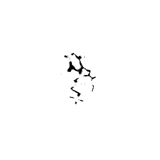 CCNC(=O)c1cc2c(Br)cn(C)c(=O)c2n1COCC[Si](C)(C)C